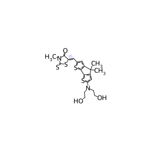 CN1C(=O)/C(=C/c2cc3c(s2)-c2sc(N(CCO)CCO)cc2C3(C)C)SC1=S